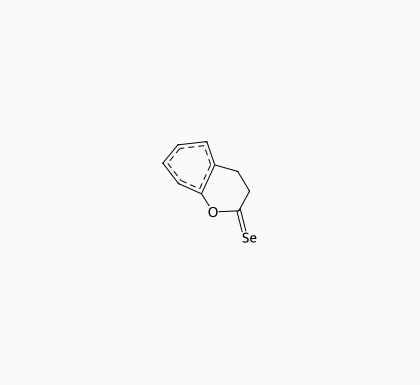 [Se]=C1CCc2ccccc2O1